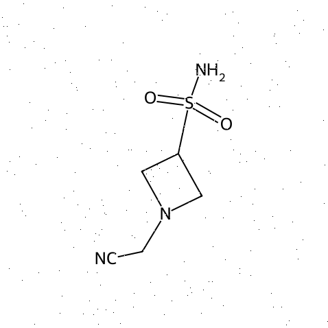 N#CCN1CC(S(N)(=O)=O)C1